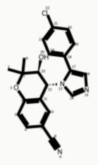 CC1(C)Oc2ccc(C#N)cc2[C@@H](n2cncc2-c2ccc(Cl)cc2)[C@@H]1O